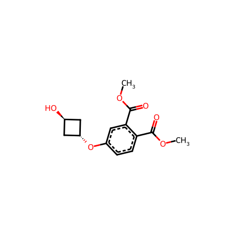 COC(=O)c1ccc(O[C@H]2C[C@H](O)C2)cc1C(=O)OC